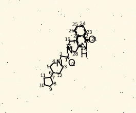 O=C(CN1CCC(C2CCCC2)CC1)N1CCc2c([nH]c(=O)c3ccccc23)C1